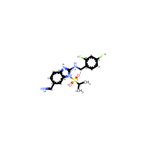 CC(C)S(=O)(=O)n1c(NCc2ccc(F)cc2F)nc2ccc(C=N)cc21